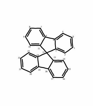 [c]1ccc2c(c1)-c1c[c]ccc1C21c2ccccc2-c2ccccc21